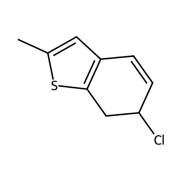 Cc1cc2c(s1)CC(Cl)C=C2